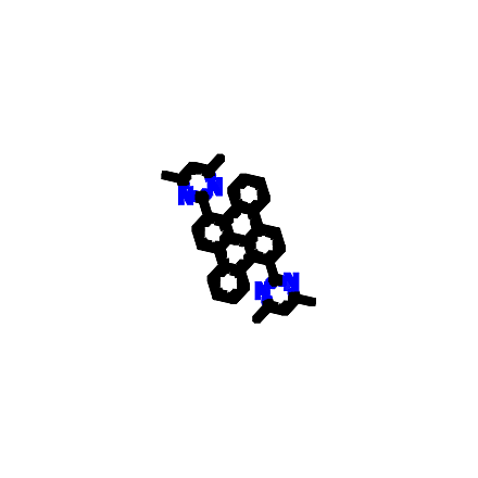 Cc1cc(C)nc(-c2ccc3c4ccccc4c4c(-c5nc(C)cc(C)n5)ccc5c6ccccc6c2c3c54)n1